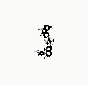 [2H]C([2H])(Oc1cnc2c(c1)CCC(=O)N2C1CC(C)(O)C1)C([2H])([2H])N1CCC2(CC1)C(=O)Nc1ccc(Cl)cc12